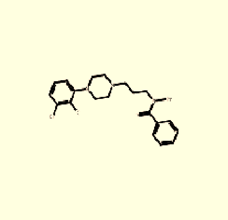 CC(C)N(CCCN1CCN(c2cccc(Cl)c2Cl)CC1)C(=O)c1ccccc1